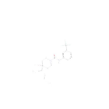 CCCC(C)C1(O)CCN(C(=O)Nc2cccc(C(F)(F)F)c2)CC1